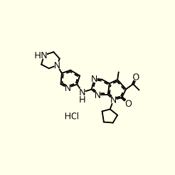 CC(=O)c1c(C)c2cnc(Nc3ccc(N4CCNCC4)cn3)nc2n(C2CCCC2)c1=O.Cl